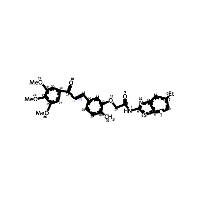 CCc1ccc2sc(NC(=O)COc3cc(/C=C/C(=O)c4cc(OC)c(OC)c(OC)c4)ccc3C)nc2c1